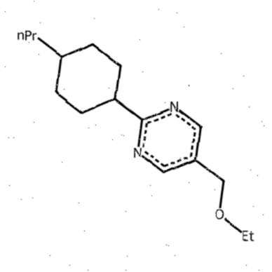 CCCC1CCC(c2ncc(COCC)cn2)CC1